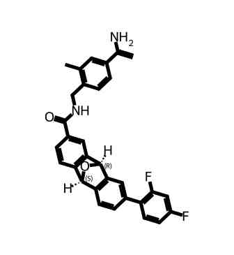 C=C(N)c1ccc(CNC(=O)c2ccc3c(c2)[C@@H]2O[C@H]3c3ccc(-c4ccc(F)cc4F)cc32)c(C)c1